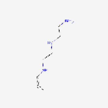 C=CNCCNCCN